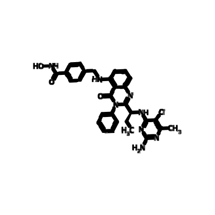 CC[C@H](Nc1nc(N)nc(C)c1Cl)c1nc2cccc(NCc3ccc(C(=O)NO)cc3)c2c(=O)n1-c1ccccc1